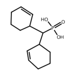 O=P(O)(O)C(C1C=CCCC1)C1C=CCCC1